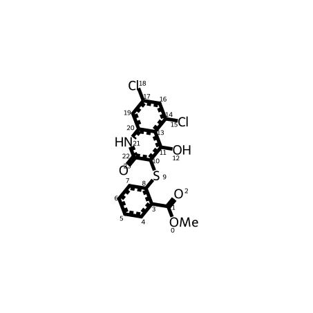 COC(=O)c1ccccc1Sc1c(O)c2c(Cl)cc(Cl)cc2[nH]c1=O